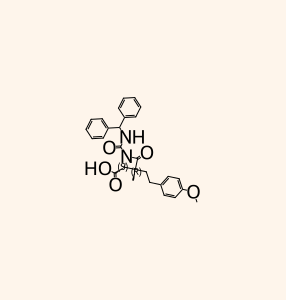 COc1ccc(CC[C@@]2(C)C(=O)N(C(=O)NC(c3ccccc3)c3ccccc3)[C@@H]2C(=O)O)cc1